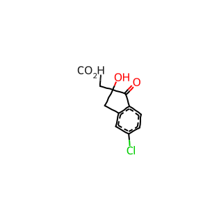 O=C(O)CC1(O)Cc2cc(Cl)ccc2C1=O